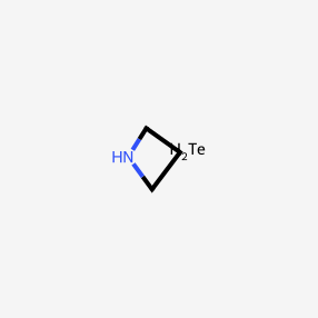 C1CNC1.[TeH2]